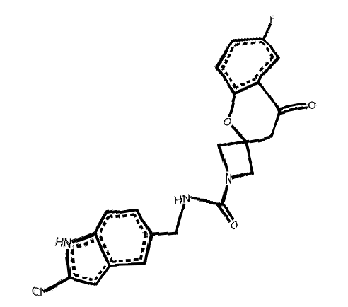 O=C1CC2(CN(C(=O)NCc3ccc4[nH]c(Cl)cc4c3)C2)Oc2ccc(F)cc21